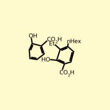 CCCCCCc1ccc(C(=O)O)c(O)c1CC.O=C(O)c1ccccc1O